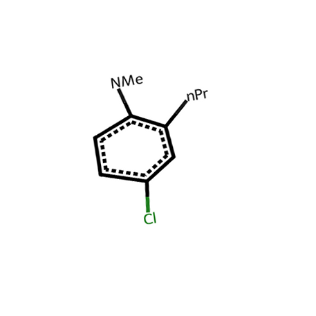 CCCc1cc(Cl)ccc1NC